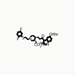 COc1ccc2ncc(F)c(C(=O)CC[C@@H]3CCN(CCSc4cc(F)ccc4F)C[C@@H]3CC(=O)O)c2c1